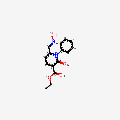 CCOC(=O)c1ccc(C=NO)n(-c2ccccc2)c1=O